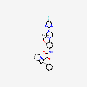 O=C(Nc1ccc2c(c1)OC[C@H]1CN(c3ncc(F)cn3)CCN21)C(=O)c1c(-c2ccccc2)cc2n1CCCC2